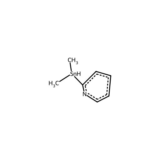 [CH3][SnH]([CH3])[c]1ccccn1